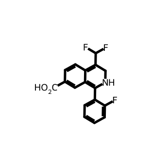 O=C(O)c1ccc2c(c1)=C(c1ccccc1F)NCC=2C(F)F